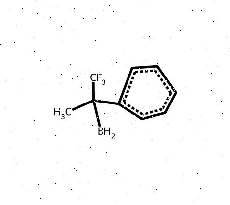 BC(C)(c1ccccc1)C(F)(F)F